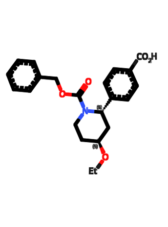 CCO[C@H]1CCN(C(=O)OCc2ccccc2)[C@H](c2ccc(C(=O)O)cc2)C1